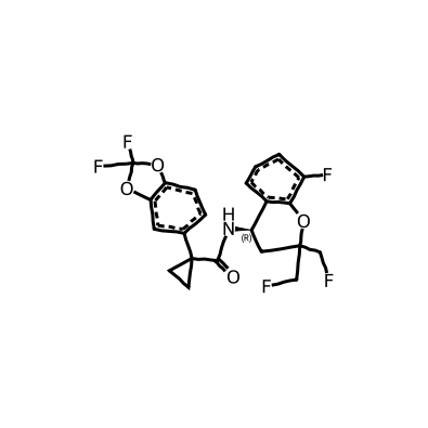 O=C(N[C@@H]1CC(CF)(CF)Oc2c(F)cccc21)C1(c2ccc3c(c2)OC(F)(F)O3)CC1